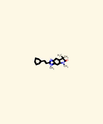 CN1C(=O)C(C)(C)c2cc3nc(C=Cc4ccccc4)n(C)c3cc21